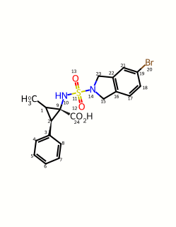 CC1[C@H](c2ccccc2)[C@]1(NS(=O)(=O)N1Cc2ccc(Br)cc2C1)C(=O)O